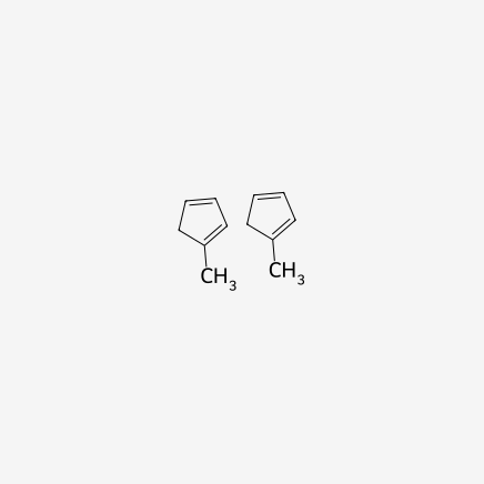 CC1=CC=CC1.CC1=CC=CC1